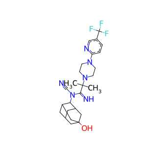 CC(C)(C(=N)N(C#N)C1C2CC3CC1CC(O)(C3)C2)N1CCN(c2ccc(C(F)(F)F)cn2)CC1